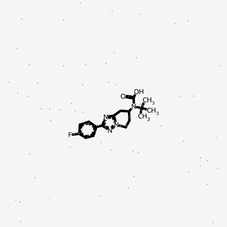 CC(C)(C)N(C(=O)O)C1CCn2nc(-c3ccc(F)cc3)nc2C1